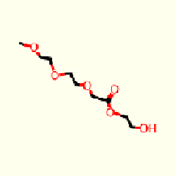 COCCOCCOCC(=O)OCCO